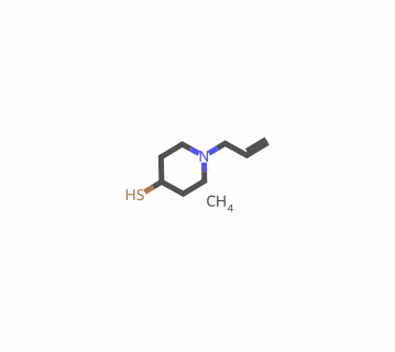 C.C=CCN1CCC(S)CC1